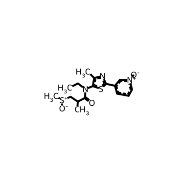 CCN(C(=O)C(C)C[S+](C)[O-])c1sc(-c2ccc[n+]([O-])c2)nc1C